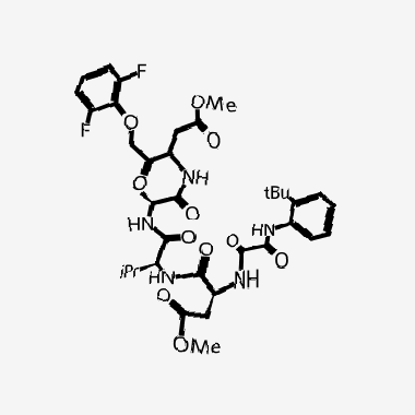 COC(=O)CC(NC(=O)[C@H](C)NC(=O)[C@@H](NC(=O)[C@H](CC(=O)OC)NC(=O)C(=O)Nc1ccccc1C(C)(C)C)C(C)C)C(=O)COc1c(F)cccc1F